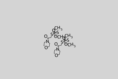 COP(=S)(OC)SCC(=O)N1CCOCC1.COP(=S)(OC)SCC(=O)N1CCOCC1